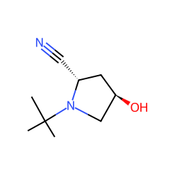 CC(C)(C)N1C[C@H](O)C[C@H]1C#N